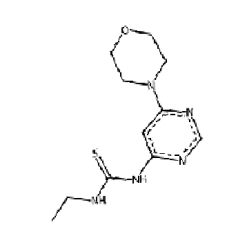 CCNC(=S)Nc1cc(N2CCOCC2)ncn1